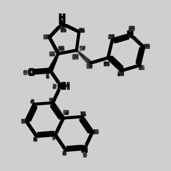 O=C(Nc1cccc2cnccc12)[C@H]1CNC[C@@H]1Cc1cccnc1